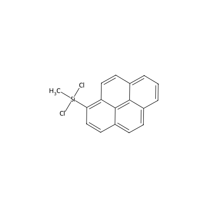 C[Si](Cl)(Cl)c1ccc2ccc3cccc4ccc1c2c34